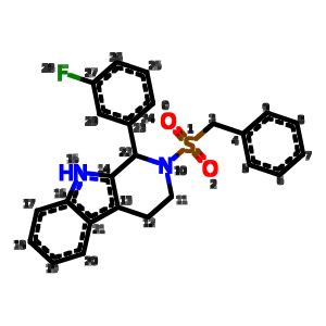 O=S(=O)(Cc1ccccc1)N1CCc2c([nH]c3ccccc23)C1c1cccc(F)c1